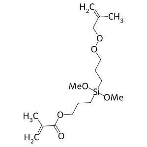 C=C(C)COOCCC[Si](CCCOC(=O)C(=C)C)(OC)OC